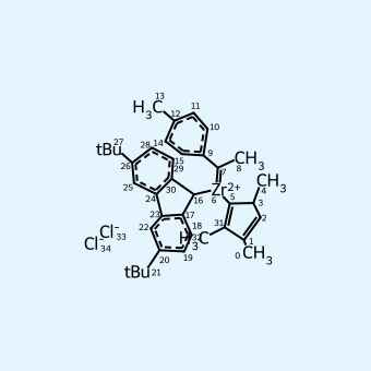 CC1=CC(C)[C](/[Zr+2](=[C](\C)c2ccc(C)cc2)[CH]2c3ccc(C(C)(C)C)cc3-c3cc(C(C)(C)C)ccc32)=C1C.[Cl-].[Cl-]